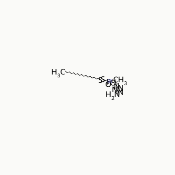 CCCCCCCCCCCCCCCCCCSSCC/[P+]([O-])=C/OC(C)Cn1cnc2c(N)ncnc21